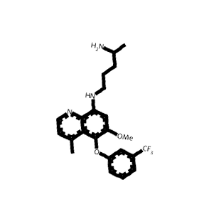 COc1cc(NCCCC(C)N)c2nccc(C)c2c1Oc1cccc(C(F)(F)F)c1